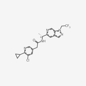 C[C@@H](NC(=O)Cc1cnc(C2CC2)c(Cl)c1)c1cc2cnn(CC(F)(F)F)c2cn1